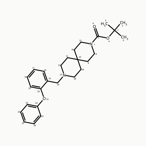 CC(C)(C)OC(=O)N1CCC2(CCN(Cc3ccccc3Oc3ccccc3)CC2)CC1